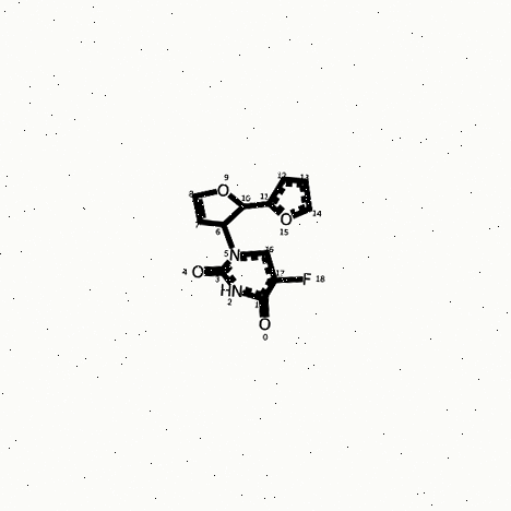 O=c1[nH]c(=O)n(C2C=COC2c2ccco2)cc1F